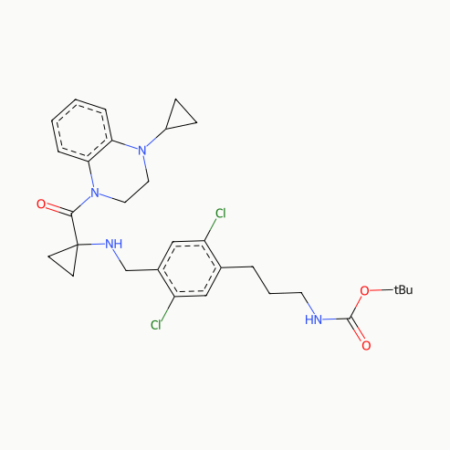 CC(C)(C)OC(=O)NCCCc1cc(Cl)c(CNC2(C(=O)N3CCN(C4CC4)c4ccccc43)CC2)cc1Cl